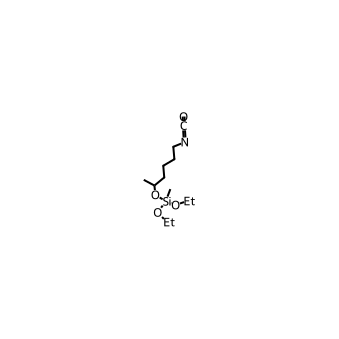 CCO[Si](C)(OCC)OC(C)CCCCN=C=O